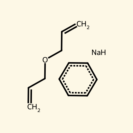 C=CCOCC=C.[NaH].c1ccccc1